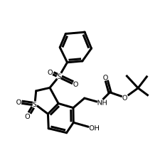 CC(C)(C)OC(=O)NCc1c(O)ccc2c1C(S(=O)(=O)c1ccccc1)CS2(=O)=O